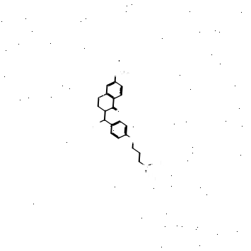 COc1ccc2c(c1)CCC(C(C)c1ccc(OCCCN(C)C)cc1)C2=O